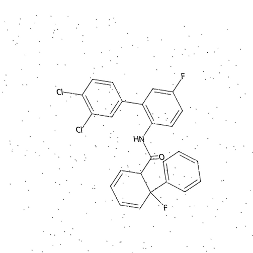 O=C(Nc1ccc(F)cc1-c1ccc(Cl)c(Cl)c1)C1C=CC=CC1(F)c1ccccc1